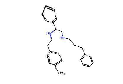 Cc1ccc(CCNC(CNCCCc2ccccc2)c2ccccc2)cc1